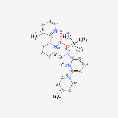 Cc1cccnc1C1CCCC(c2cn3c(N4CCN(C)CC4)cccc3n2)N1C(=O)OC(C)(C)C